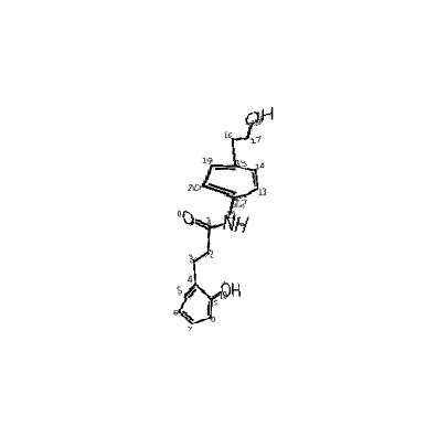 O=C(CCc1ccccc1O)Nc1ccc(CCO)cc1